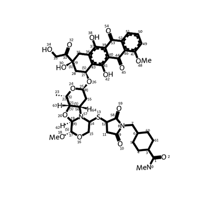 CNC(=O)C1CCC(CN2C(=O)CC(SC3CO[C@H](OC)[C@H]4O[C@@H]5[C@H](C)O[C@@H](O[C@H]6C[C@](O)(C(=O)CO)Cc7c(O)c8c(c(O)c76)C(=O)c6c(OC)cccc6C8=O)C[C@@H]5N34)C2=O)CC1